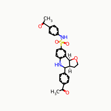 CC(=O)c1ccc(NS(=O)(=O)c2ccc3c(c2)[C@H]2OCC[C@H]2C(c2ccc(C(C)=O)cc2)N3)cc1